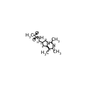 CC1=NC(C)C(C)=C2CC(CNS(C)(=O)=O)CN12